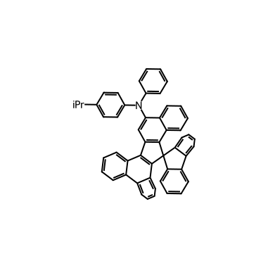 CC(C)c1ccc(N(c2ccccc2)c2cc3c(c4ccccc24)C2(c4ccccc4-c4ccccc42)c2c-3c3ccccc3c3ccccc23)cc1